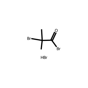 Br.CC(C)(Br)C(=O)Br